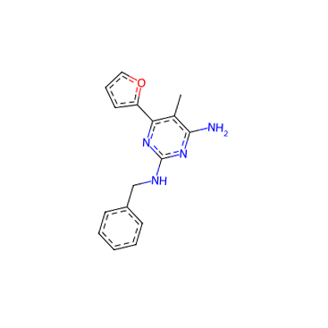 Cc1c(N)nc(NCc2ccccc2)nc1-c1ccco1